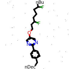 CCCCCCCCCCCc1ccc(-c2ncc(OCCC(F)CCCC(F)CCCC)cn2)cc1